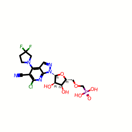 N#Cc1c(Cl)nc2c(cnn2[C@@H]2O[C@H](COCP(=O)(O)O)[C@@H](O)[C@H]2O)c1N1CCC(F)(F)C1